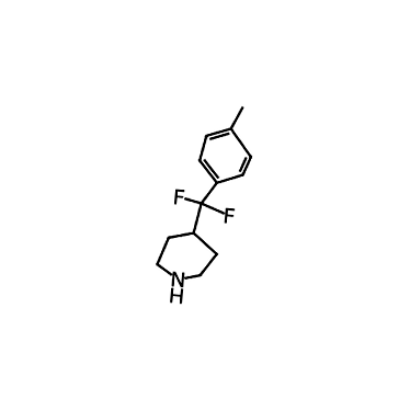 Cc1ccc(C(F)(F)C2CCNCC2)cc1